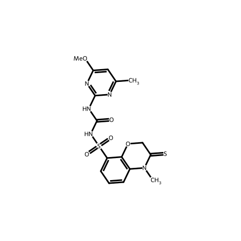 COc1cc(C)nc(NC(=O)NS(=O)(=O)c2cccc3c2OCC(=S)N3C)n1